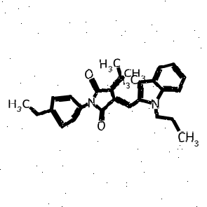 CCCn1c(/C=C2/C(=O)N(c3ccc(CC)cc3)C(=O)C2=C(C)C)c(C)c2ccccc21